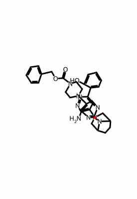 Nc1nnc(-c2ccccc2O)cc1N1CC2CCC(C1)N2c1ncc(N2CCN(C(=O)OCc3ccccc3)CC2)cn1